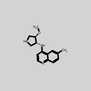 CO[C@@H]1CNC[C@H]1Nc1ccnc2ccc(C)cc12